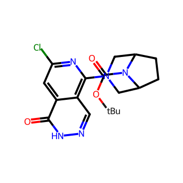 CC(C)(C)OC(=O)N1C2CCC1CN(c1nc(Cl)cc3c(=O)[nH]ncc13)C2